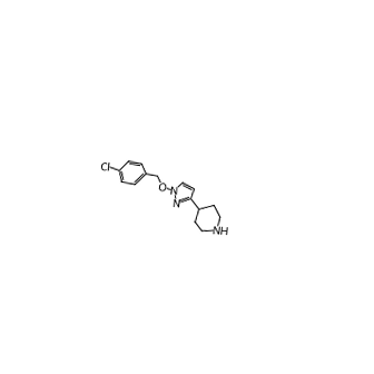 Clc1ccc(COn2ccc(C3CCNCC3)n2)cc1